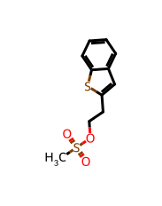 CS(=O)(=O)OCCc1cc2ccccc2s1